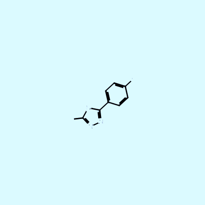 Cc1ccc(-c2nnc(C)[nH]2)cc1